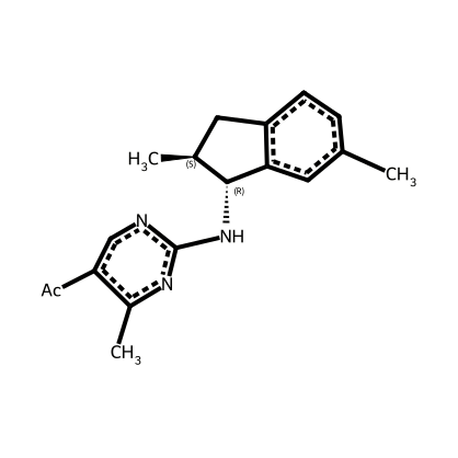 CC(=O)c1cnc(N[C@H]2c3cc(C)ccc3C[C@@H]2C)nc1C